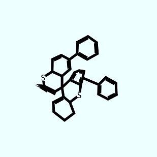 C1=CC2SC3C=CC(c4ccccc4)=CC3C3(C4=CCCCC4Sc4c(-c5ccccc5)cccc43)C2CC1